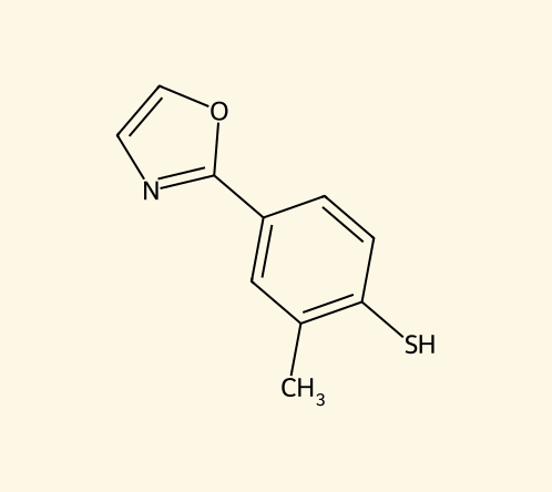 Cc1cc(-c2ncco2)ccc1S